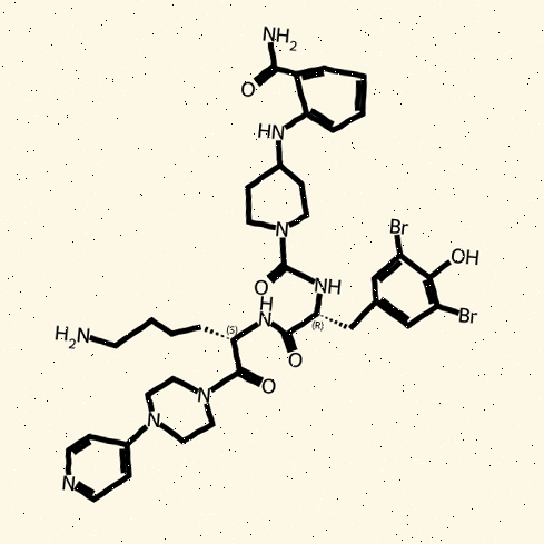 NCCCC[C@H](NC(=O)[C@@H](Cc1cc(Br)c(O)c(Br)c1)NC(=O)N1CCC(Nc2ccccc2C(N)=O)CC1)C(=O)N1CCN(c2ccncc2)CC1